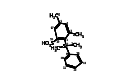 Cc1cc(C)c([Si](C)(C)c2ccccc2)c(S(=O)(=O)O)c1